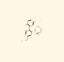 COc1ccc(F)c(-c2ccc(CC(C)C)cc2[C@H]2OCCCC2(C)C)c1